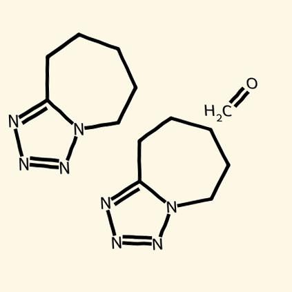 C1CCc2nnnn2CC1.C1CCc2nnnn2CC1.C=O